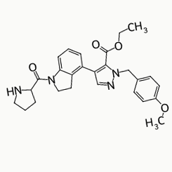 CCOC(=O)c1c(-c2cccc3c2CCN3C(=O)C2CCCN2)cnn1Cc1ccc(OC)cc1